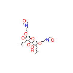 COc1c(OCCCN2CCOCC2)cc2oc3cc(OCCCN4CCOCC4)c(CC=C(C)C)c(O)c3c(=O)c2c1CC=C(C)C